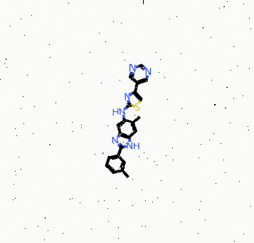 Cc1cccc(-c2nc3cc(Nc4nc(-c5cncnc5)cs4)c(C)cc3[nH]2)c1